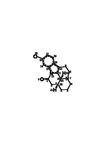 O=C1C[C@H]2CCCN3CCc4c(n1c1cc(Cl)ccc41)[C@@H]23